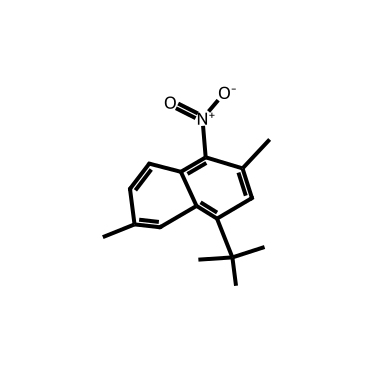 Cc1ccc2c([N+](=O)[O-])c(C)cc(C(C)(C)C)c2c1